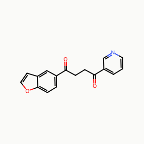 O=C(CCC(=O)c1ccc2occc2c1)c1cccnc1